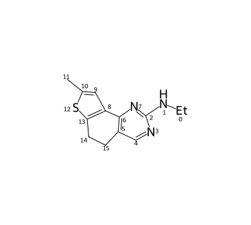 CCNc1ncc2c(n1)-c1cc(C)sc1CC2